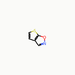 c1cc2cnoc2s1